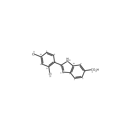 O=C(O)c1ccc2nc(-c3ccc(Cl)cc3Cl)[nH]c2c1